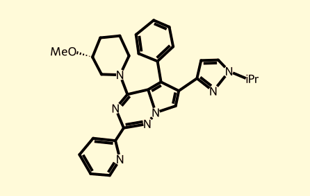 CO[C@@H]1CCCN(c2nc(-c3ccccn3)nn3cc(-c4ccn(C(C)C)n4)c(-c4ccccc4)c23)C1